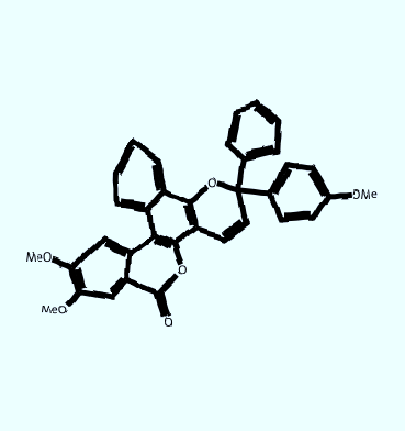 COc1ccc(C2(c3ccccc3)C=Cc3c(c4ccccc4c4c3oc(=O)c3cc(OC)c(OC)cc34)O2)cc1